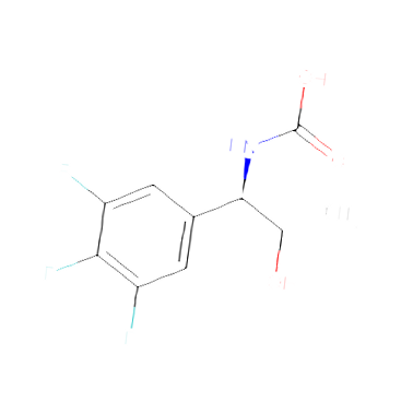 C[C@H](O)[C@H](NC(=O)O)c1cc(F)c(F)c(F)c1